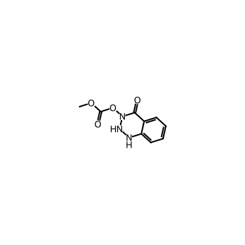 COC(=O)ON1NNc2ccccc2C1=O